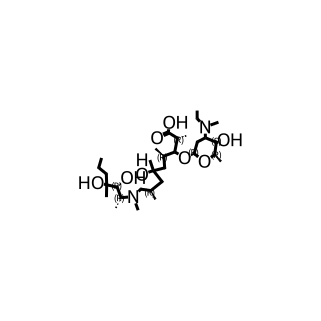 CCCC(C)(O)[C@H](O)[C@@H](C)N(C)C[C@H](C)CC(C)(O)C[C@@H](C)C(O[C@H]1CC(N(C)CC)[C@H](O)[C@@H](C)O1)[C@@H](C)C(=O)O